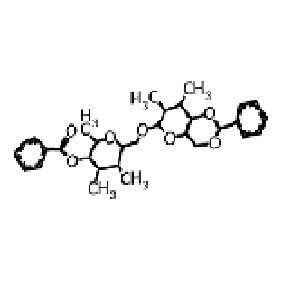 CC1OC(COC2OC3COC(c4ccccc4)OC3C(C)C2C)C(C)C(C)C1OC(=O)c1ccccc1